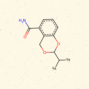 [2H]C([2H])C1OCc2c(cccc2C(N)=O)O1